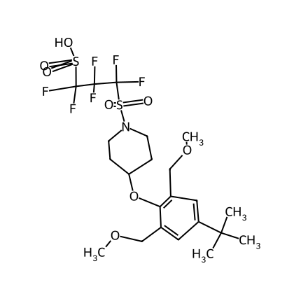 COCc1cc(C(C)(C)C)cc(COC)c1OC1CCN(S(=O)(=O)C(F)(F)C(F)(F)C(F)(F)S(=O)(=O)O)CC1